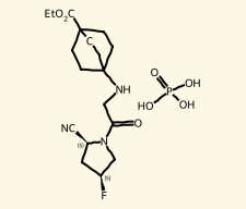 CCOC(=O)C12CCC(NCC(=O)N3C[C@@H](F)C[C@H]3C#N)(CC1)CC2.O=P(O)(O)O